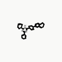 C1=CCC(C2N=C(C3=CCCC=C3)N=C(c3ccc(-c4ccc5c(c4)=CCCC=5)cc3)N2)C=C1